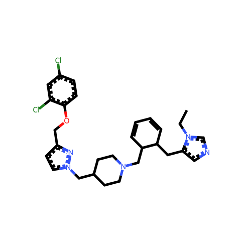 CCn1cncc1CC1C=CC=CC1CN1CCC(Cn2ccc(COc3ccc(Cl)cc3Cl)n2)CC1